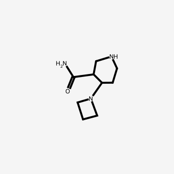 NC(=O)C1CNCCC1N1CCC1